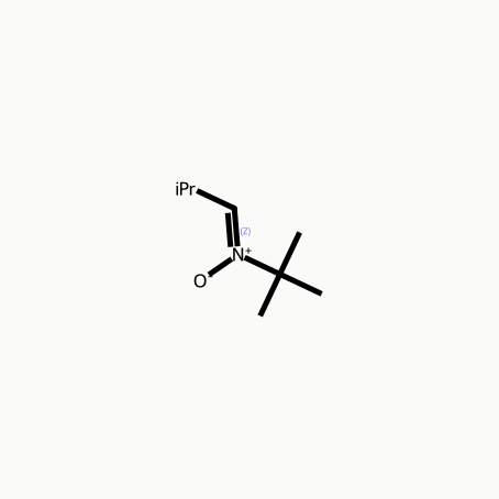 CC(C)/C=[N+](\[O-])C(C)(C)C